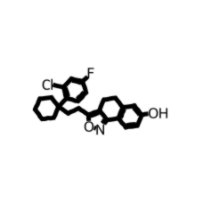 Oc1ccc2c(c1)CCc1c-2noc1CCC1(c2ccc(F)cc2Cl)CCCCC1